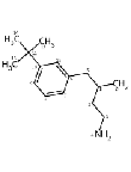 CC(CCN)Cc1cccc(C(C)(C)C)c1